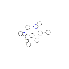 c1ccc(-c2cc(-c3ccccc3)cc(-c3nc(-c4cccc(-n5c6ccccc6c6c7sc8ccccc8c7c7ccccc7c65)c4)nc4ccccc34)c2)cc1